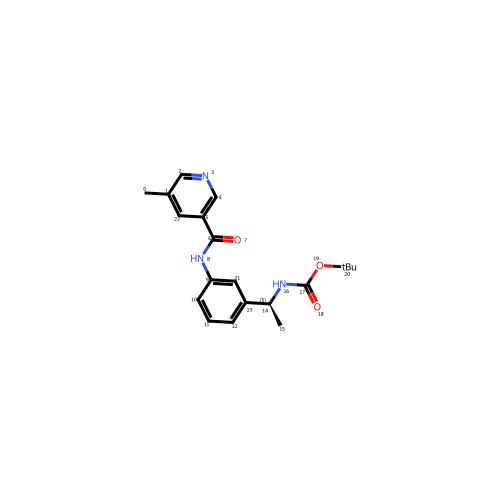 Cc1cncc(C(=O)Nc2cccc([C@H](C)NC(=O)OC(C)(C)C)c2)c1